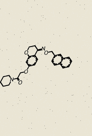 O=C(COc1ccc2c(c1)OCC/C2=N/OCc1ccc2ccccc2c1)N1CCCCC1